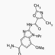 CCCn1c(NC(=O)c2oc(C)nc2C)nc2cc(C(N)=O)cc(OC)c21